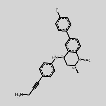 CC(=O)N1c2ccc(-c3ccc(F)cc3)cc2[C@H](Nc2ccc(C#CCN)cc2)C[C@@H]1C